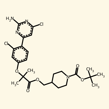 CC(C)(C)OC(=O)N1CCC(COC(=O)C(C)(C)Oc2ccc(-c3cc(Cl)nc(N)n3)c(Cl)c2)CC1